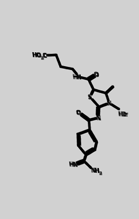 Br.CC1C(C(=O)NCCCC(=O)O)SC(=NC(=O)c2ccc(C(=N)N)cc2)N1C